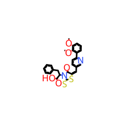 COc1cccc(-c2ccc(C=C3SC(=S)N(C(Cc4ccccc4)C(=O)O)C3=O)cn2)c1OC